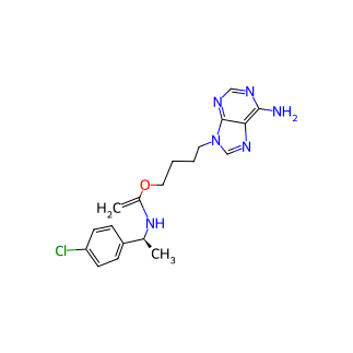 C=C(N[C@@H](C)c1ccc(Cl)cc1)OCCCCn1cnc2c(N)ncnc21